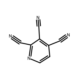 N#Cc1ccnc(C#N)c1C#N